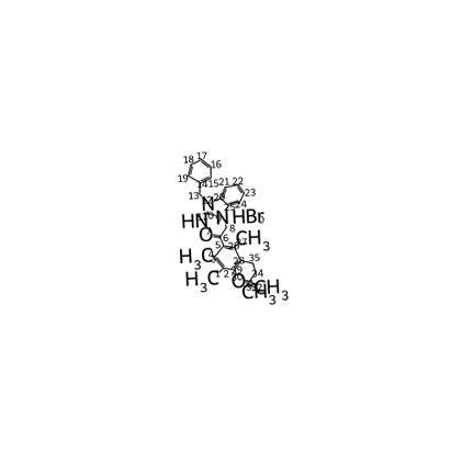 Br.Cc1c(C)c(C(=O)Cn2c(=N)n(Cc3ccccc3)c3ccccc32)c(C)c2c1OC(C)(C)CC2